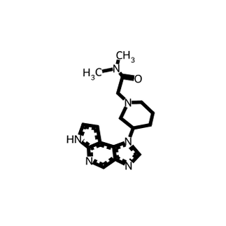 CN(C)C(=O)CN1CCCC(n2cnc3cnc4[nH]ccc4c32)C1